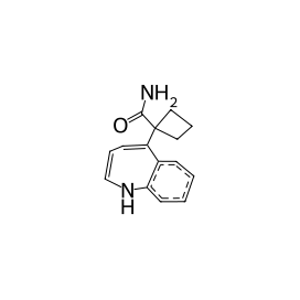 NC(=O)C1(C2=CC=CNc3ccccc32)CCC1